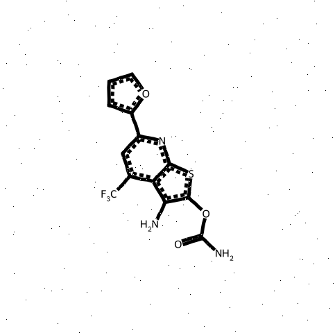 NC(=O)Oc1sc2nc(-c3ccco3)cc(C(F)(F)F)c2c1N